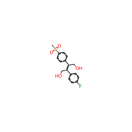 CS(=O)(=O)c1ccc(C(CO)=C(CO)c2ccc(F)cc2)cc1